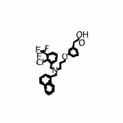 O=C(O)Cc1cccc(OCCCN(Cc2cccc(C(F)(F)F)c2Cl)Cc2cccc3ccccc23)c1